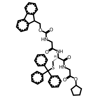 O=C(CNC(=O)OCC1c2ccccc2-c2ccccc21)N[C@@H](CSC(c1ccccc1)(c1ccccc1)c1ccccc1)C(=O)NCC(=O)OC1CCCC1